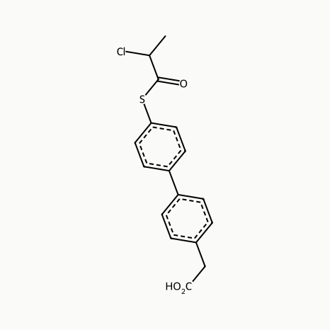 CC(Cl)C(=O)Sc1ccc(-c2ccc(CC(=O)O)cc2)cc1